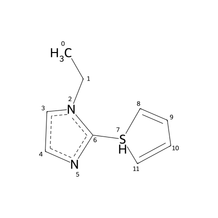 CCn1ccnc1[SH]1C=CC=C1